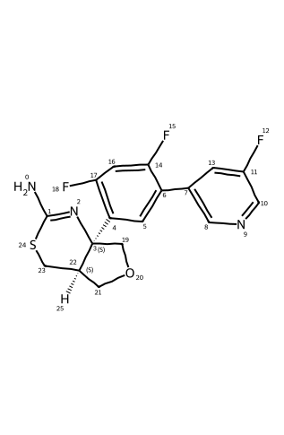 NC1=N[C@@]2(c3cc(-c4cncc(F)c4)c(F)cc3F)COC[C@H]2CS1